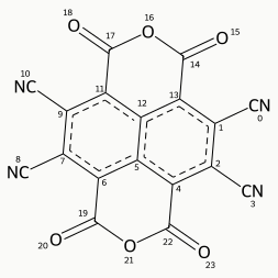 N#Cc1c(C#N)c2c3c(c(C#N)c(C#N)c4c3c1C(=O)OC4=O)C(=O)OC2=O